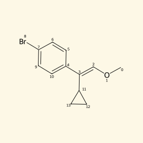 COC=C(c1ccc(Br)cc1)C1CC1